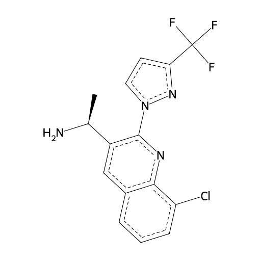 C[C@H](N)c1cc2cccc(Cl)c2nc1-n1ccc(C(F)(F)F)n1